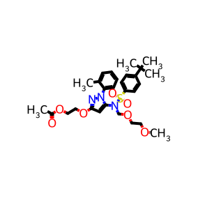 COCCOCN(c1cc(OCCOC(C)=O)nn1-c1ccccc1C)S(=O)(=O)c1ccc(C(C)(C)C)cc1